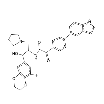 Cn1ncc2cc(-c3ccc(C(=O)C(=O)NC(CN4CCCC4)C(O)c4cc(F)c5c(c4)OCCO5)cc3)ccc21